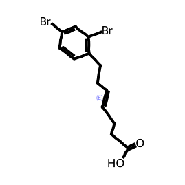 O=C(O)CC/C=C/CCc1ccc(Br)cc1Br